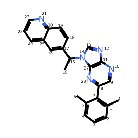 Cc1cccc(C)c1-c1cnc2ncn(C(C)c3ccc4ncccc4c3)c2n1